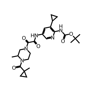 CC1CN(C(=O)C(=O)Nc2cnc(NC(=O)OC(C)(C)C)c(C3CC3)c2)CCN1C(=O)C1(C)CC1